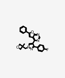 CC1(Cn2cc(-c3ncnc4oc(-c5ccccc5)cc34)c(-c3ccc(F)cc3)n2)COC1